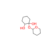 OC1CCCCC1(O)OC1CCCCO1